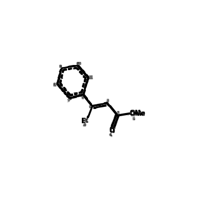 CCC(=CC(=O)OC)c1ccccc1